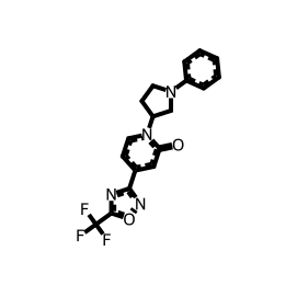 O=c1cc(-c2noc(C(F)(F)F)n2)ccn1C1CCN(c2ccccc2)C1